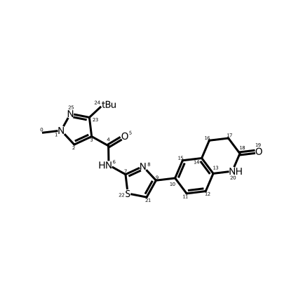 Cn1cc(C(=O)Nc2nc(-c3ccc4c(c3)CCC(=O)N4)cs2)c(C(C)(C)C)n1